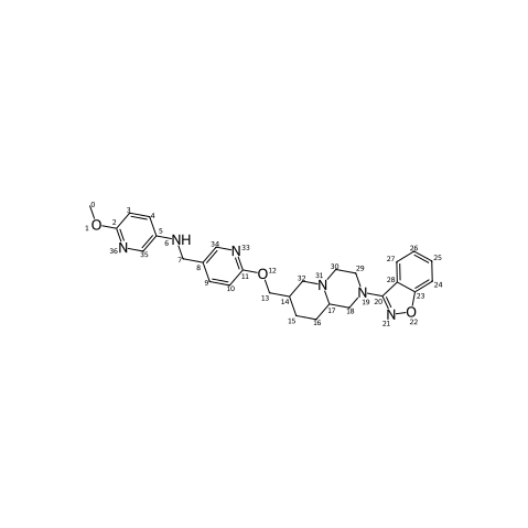 COc1ccc(NCc2ccc(OCC3CCC4CN(c5noc6ccccc56)CCN4C3)nc2)cn1